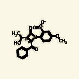 COc1ccc(N2C(=O)[C@@H](C(C)O)[C@@H]2C(=O)c2ccccc2)c([N+](=O)[O-])c1